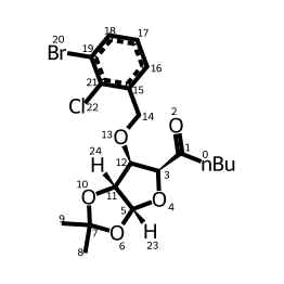 CCCCC(=O)[C@H]1O[C@@H]2OC(C)(C)O[C@@H]2[C@H]1OCc1cccc(Br)c1Cl